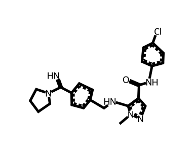 Cn1ncc(C(=O)Nc2ccc(Cl)cc2)c1NCc1ccc(C(=N)N2CCCC2)cc1